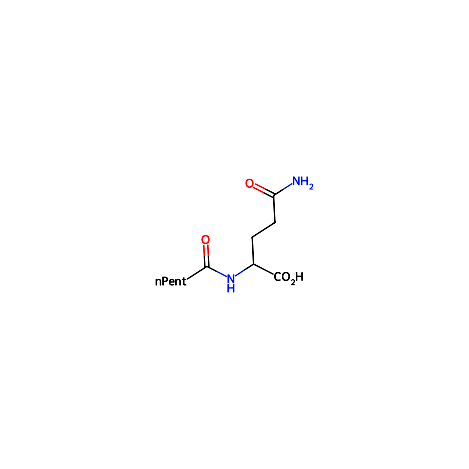 CCCCCC(=O)NC(CCC(N)=O)C(=O)O